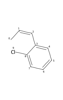 C/[C]=C\c1ccccc1Cl